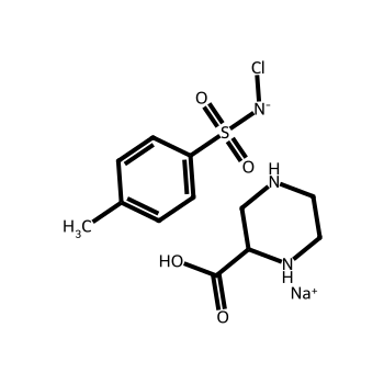 Cc1ccc(S(=O)(=O)[N-]Cl)cc1.O=C(O)C1CNCCN1.[Na+]